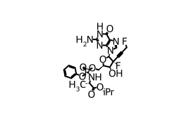 CC(C)OC(=O)[C@H](C)NP(=O)(OC[C@H]1O[C@@H](n2cnc3c(=O)[nH]c(N)nc32)[C@@](F)(C#CCF)[C@H]1O)Oc1ccccc1